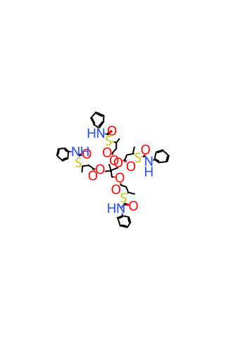 CC(CC(=O)OCC(COC(=O)CC(C)SC(=O)Nc1ccccc1)(COC(=O)CC(C)SC(=O)Nc1ccccc1)COC(=O)CC(C)SC(=O)Nc1ccccc1)SC(=O)Nc1ccccc1